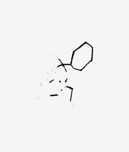 CC[Si](OC)(OC)OC(N)(N)C1CCCCC1